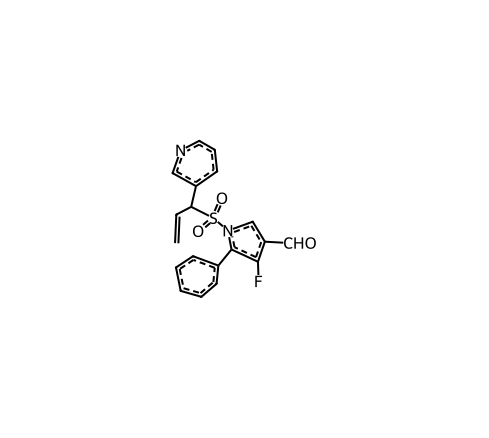 C=CC(c1cccnc1)S(=O)(=O)n1cc(C=O)c(F)c1-c1ccccc1